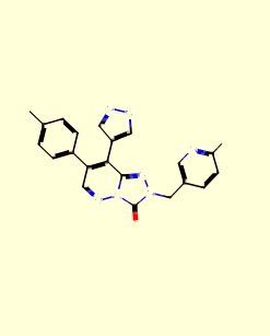 Cc1ccc(-c2cnn3c(=O)n(Cc4ccc(C(F)(F)F)nc4)nc3c2-c2cn[nH]c2)cc1